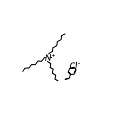 C=Cc1ccccc1.CCCCCCCC[N+](C)(CCCCCCCC)CCCCCCCC.[Cl-]